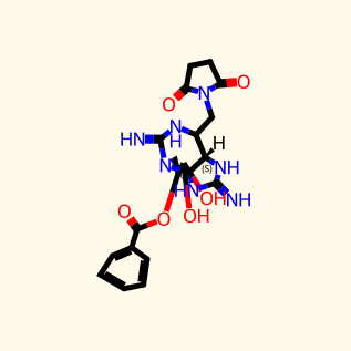 N=C1N[C@H]2C(CN3C(=O)CCC3=O)NC(=N)N3CC(OC(=O)c4ccccc4)C(O)(O)[C@]23N1